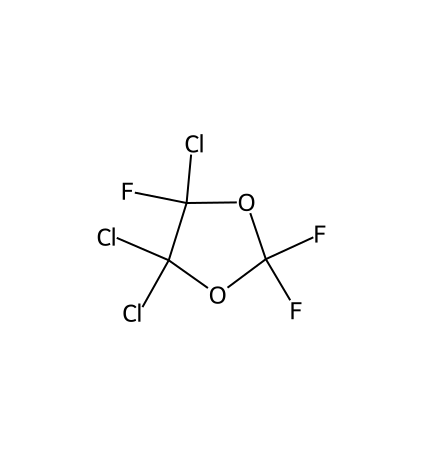 FC1(F)OC(F)(Cl)C(Cl)(Cl)O1